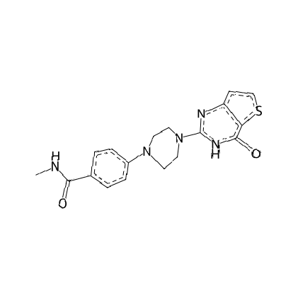 CNC(=O)c1ccc(N2CCN(c3nc4ccsc4c(=O)[nH]3)CC2)cc1